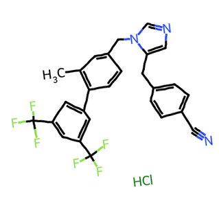 Cc1cc(Cn2cncc2Cc2ccc(C#N)cc2)ccc1-c1cc(C(F)(F)F)cc(C(F)(F)F)c1.Cl